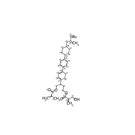 C=C(C)C(=O)OCC(CCOC(=O)C(=C)CO)C1=CC=C(c2ccc(C3CCC(CC(C)CCCC)CC3)cc2)CC1